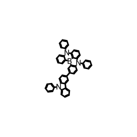 c1ccc(N2c3ccccc3B3c4cc(-c5ccc6c(c5)c5ccccc5n6-c5ccccc5)ccc4N(c4ccccc4)c4cccc2c43)cc1